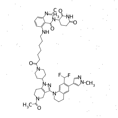 CC(=O)N1CCc2c(c(N3CCCc4cc(-c5cnn(C)c5)c(C(F)F)cc43)nn2C2CCN(C(=O)CCCCCCNc3cccc4nc(C)n(C5CCC(=O)NC5=O)c(=O)c34)CC2)C1